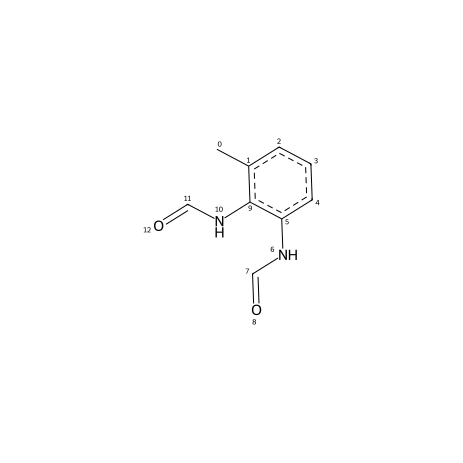 Cc1cccc(NC=O)c1NC=O